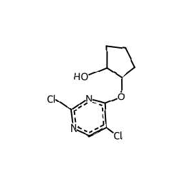 OC1CCCC1Oc1nc(Cl)ncc1Cl